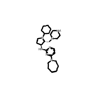 c1cc(N2CCCCCC2)nc(N[C@H]2CCN(C3CCCCC3)[C@@H]2CN2CCNCC2)n1